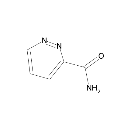 NC(=O)c1cccnn1